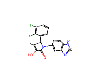 CC1=C(O)C(=O)N(c2ccc3[nH][14cH]nc3c2)C1c1cccc(F)c1F